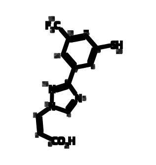 O=C(O)/C=C\n1cnc(-c2cc(S)cc(C(F)(F)F)c2)n1